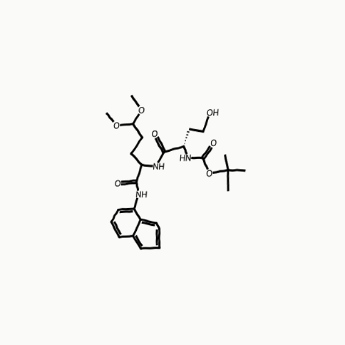 COC(CCC(NC(=O)[C@H](CCO)NC(=O)OC(C)(C)C)C(=O)Nc1cccc2ccccc12)OC